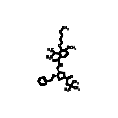 COCCCOc1c(OC)ccc(C(=O)NC[C@@H]2CN(C(=O)OC(C)(C)C)C[C@H]2OCc2ccccc2)c1C(C)C